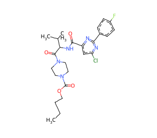 CCCCOC(=O)N1CCN(C(=O)C(NC(=O)c2cc(Cl)nc(-c3ccc(F)cc3)n2)C(C)C)CC1